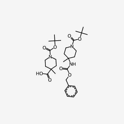 CC(C)(C)OC(=O)N1CCC(C)(C(=O)O)CC1.CC1(NC(=O)OCc2ccccc2)CCN(C(=O)OC(C)(C)C)CC1